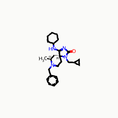 C[C@H]1C[C@]2(CCN1Cc1ccccc1)C(NC1CCCCC1)=NC(=O)N2CC1CC1